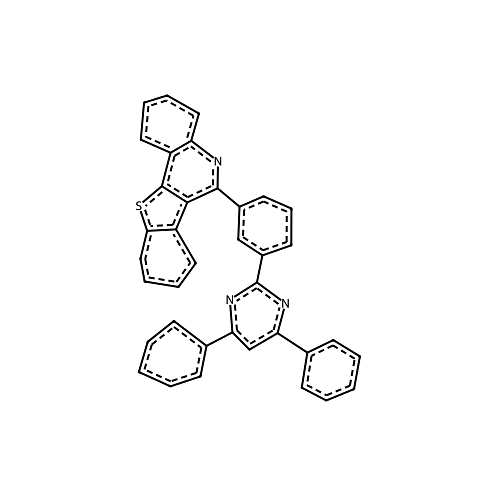 c1ccc(-c2cc(-c3ccccc3)nc(-c3cccc(-c4nc5ccccc5c5sc6ccccc6c45)c3)n2)cc1